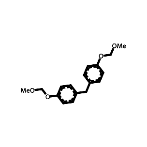 COCOc1ccc(Cc2ccc(OCOC)cc2)cc1